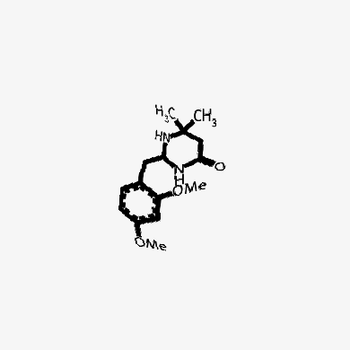 COc1ccc(CC2NC(=O)CC(C)(C)N2)c(OC)c1